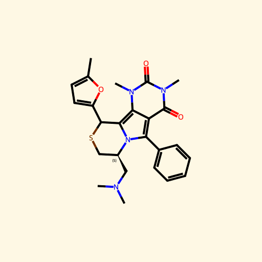 Cc1ccc(C2SC[C@H](CN(C)C)n3c(-c4ccccc4)c4c(=O)n(C)c(=O)n(C)c4c32)o1